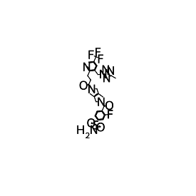 Cc1nnn(Cc2cc(C(F)(F)F)cnc2CCC(=O)N2CC3=C(C2)CN(C(=O)c2ccc(S(N)(=O)=O)cc2F)C3)n1